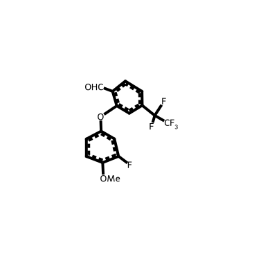 COc1ccc(Oc2cc(C(F)(F)C(F)(F)F)ccc2C=O)cc1F